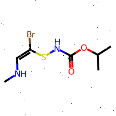 CN/C=C(/Br)SNC(=O)OC(C)C